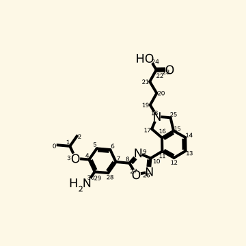 CC(C)Oc1ccc(-c2nc(-c3cccc4c3CN(CCCC(=O)O)C4)no2)cc1N